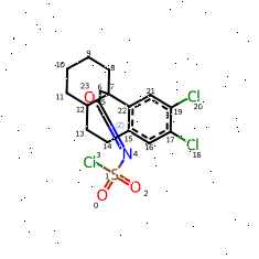 O=S(=O)(Cl)/N=C1/CC23CCCCC2(CCc2cc(Cl)c(Cl)cc23)O1